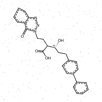 O=C(O)C(CCn1nnc2ccccc2c1=O)[C@H](O)CCc1ccc(-c2ccccc2)cc1